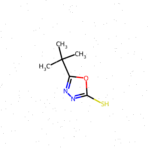 CC(C)(C)c1nnc(S)o1